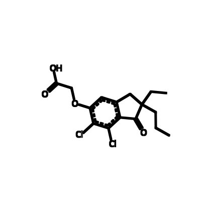 CCCC1(CC)Cc2cc(OCC(=O)O)c(Cl)c(Cl)c2C1=O